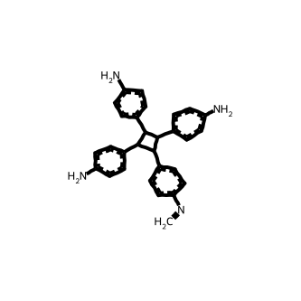 C=Nc1ccc(C2C(c3ccc(N)cc3)C(c3ccc(N)cc3)C2c2ccc(N)cc2)cc1